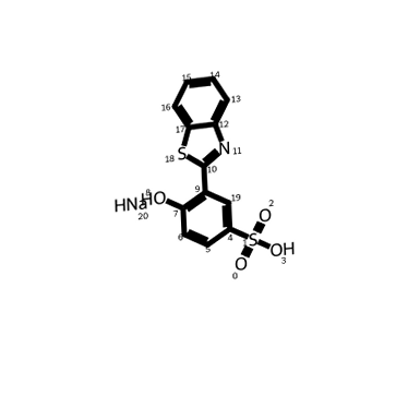 O=S(=O)(O)c1ccc(O)c(-c2nc3ccccc3s2)c1.[NaH]